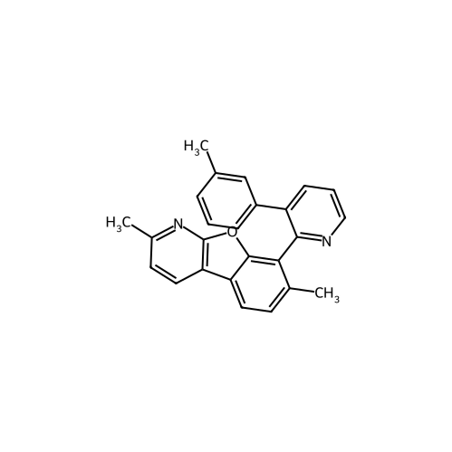 Cc1cccc(-c2cccnc2-c2c(C)ccc3c2oc2nc(C)ccc23)c1